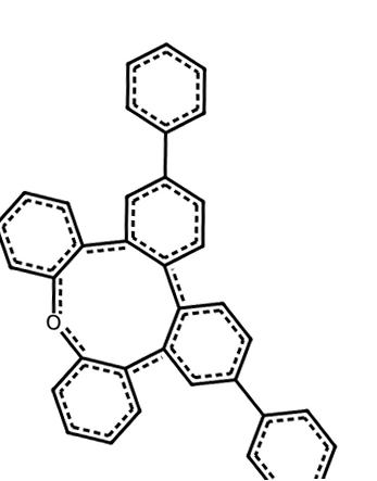 c1ccc(-c2ccc3c(c2)c2ccccc2oc2ccccc2c2cc(-c4ccccc4)ccc23)cc1